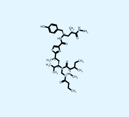 CCCC(=O)OCN(C(=O)[C@@H](NC)C(C)CC)[C@H](C[C@@H](C)c1nc(C(=O)N[C@@H](Cc2ccc(O)cc2)C[C@H](C)C(=O)NN)cs1)C(C)C